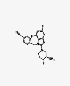 N#Cc1ccc(Cn2c(N3CC[C@@H](F)[C@H](N)C3)nc3cc(F)cc(F)c32)cc1